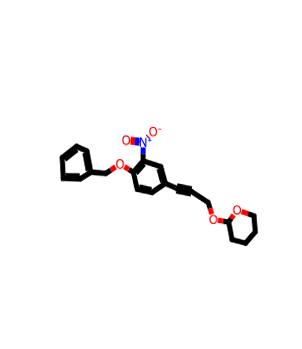 O=[N+]([O-])c1cc(C#CCOC2CCCCO2)ccc1OCc1ccccc1